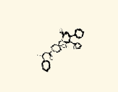 C[C@H](CC(=O)N1CCC(O)(Cn2cc(-c3ccco3)c(-c3ccccc3)cc2=O)CC1)c1ccccc1